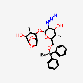 C[C@@H]1C(CO[Si](c2ccccc2)(c2ccccc2)C(C)(C)C)O[C@@H](OC2C3COC(O3)[C@@H](O)[C@H]2C)C(N=[N+]=[N-])[C@H]1O